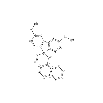 OCc1ccc(C2(c3ccc(CO)cc3)C=Cc3ccc4ccccc4c3O2)cc1